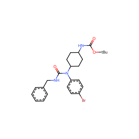 CC(C)(C)OC(=O)NC1CCC(N(C(=O)NCc2ccccc2)c2ccc(Br)cc2)CC1